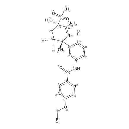 C[C@]1(c2cc(NC(=O)c3cnc(OCF)cn3)ccc2F)N=C(N)[C@](C)(S(C)(=O)=O)CC1(F)F